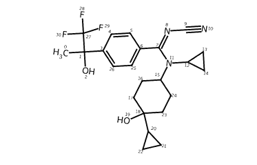 CC(O)(c1ccc(C(=NC#N)N(C2CC2)C2CCC(O)(C3CC3)CC2)cc1)C(F)(F)F